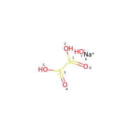 O=S(O)S(=O)O.[Na+].[OH-]